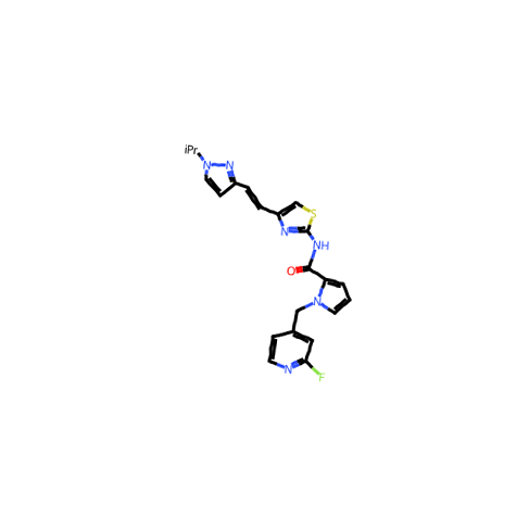 CC(C)n1ccc(C=Cc2csc(NC(=O)c3cccn3Cc3ccnc(F)c3)n2)n1